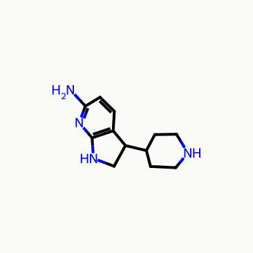 Nc1ccc2c(n1)NCC2C1CCNCC1